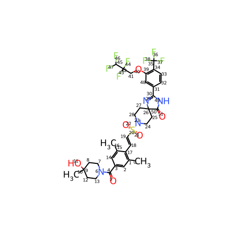 Cc1cc(C(=O)N2CCC(C)(O)CC2)cc(C)c1C=CS(=O)(=O)N1CCC2(CC1)N=C(c1ccc(C(F)(F)F)c(OCC(F)(F)C(F)F)c1)NC2=O